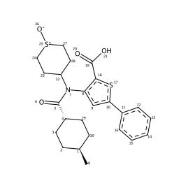 C[C@H]1CC[C@H](C(=O)N(c2cc(-c3ccccc3)sc2C(=O)O)C2CC[S+]([O-])CC2)CC1